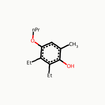 CCCOc1cc(C)c(O)c(CC)c1CC